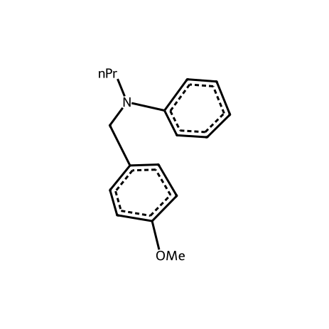 CCCN(Cc1ccc(OC)cc1)c1ccccc1